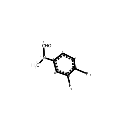 CN(C=O)c1ccc(F)c(F)c1